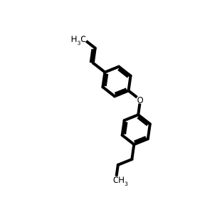 CC=Cc1ccc(Oc2ccc(CCC)cc2)cc1